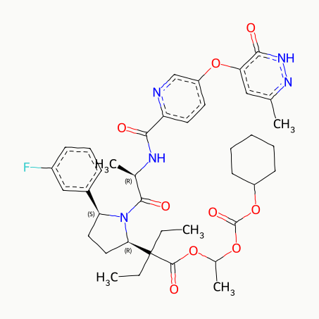 CCC(CC)(C(=O)OC(C)OC(=O)OC1CCCCC1)[C@H]1CC[C@@H](c2cccc(F)c2)N1C(=O)[C@@H](C)NC(=O)c1ccc(Oc2cc(C)n[nH]c2=O)cn1